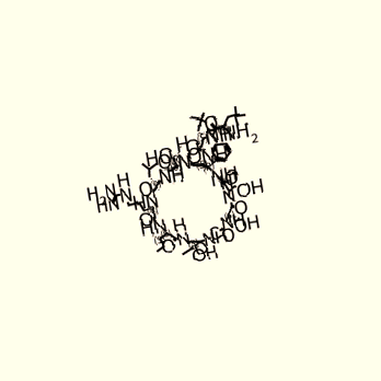 CC[C@H](C)[C@@H]1NC(=O)[C@@H](CCCNC(=N)N)NC(=O)[C@H](CC(C)C)NC(=O)[C@H]([C@@H](C)O)NC(=O)[C@@H](NC(=O)[C@H](CC(C)(C)C)NC(=O)[C@H](N)CC(C)(C)C)[C@@H](c2ccccc2)NC(=O)C(CO)NC(=O)[C@H](CO)NC(=O)CNC(=O)[C@H](C(C)O)NC1=O